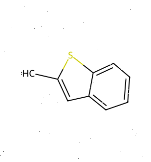 [CH]c1cc2ccccc2s1